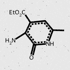 CCOC(=O)c1cc(C)[nH]c(=O)c1N